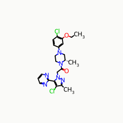 CCOc1cc(N2CCN(C(=O)Cn3nc(C)c(Cl)c3-c3ncccn3)[C@@H](C)C2)ccc1Cl